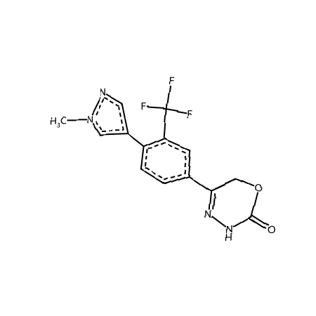 Cn1cc(-c2ccc(C3=NNC(=O)OC3)cc2C(F)(F)F)cn1